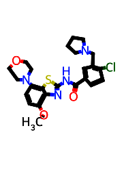 COc1ccc(N2CCOCC2)c2sc(NC(=O)c3ccc(Cl)c(CN4CCCC4)c3)nc12